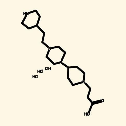 Cl.Cl.Cl.O=C(O)CCN1CCC(N2CCN(CCC3CCNCC3)CC2)CC1